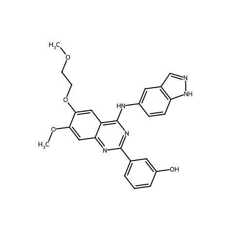 COCCOc1cc2c(Nc3ccc4[nH]ncc4c3)nc(-c3cccc(O)c3)nc2cc1OC